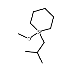 CO[Si]1(CC(C)C)CCCCC1